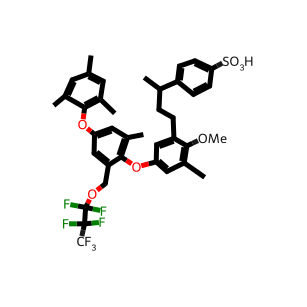 COc1c(C)cc(Oc2c(C)cc(Oc3c(C)cc(C)cc3C)cc2COC(F)(F)C(F)(F)C(F)(F)F)cc1CCC(C)c1ccc(S(=O)(=O)O)cc1